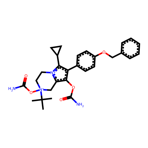 CC(C)(C)[N+]1(OC(N)=O)CCn2c(c(OC(N)=O)c(-c3ccc(OCc4ccccc4)cc3)c2C2CC2)C1